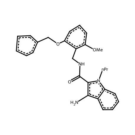 CCCn1c(C(=O)NCc2c(OC)cccc2OCc2ccccc2)c(N)c2ccccc21